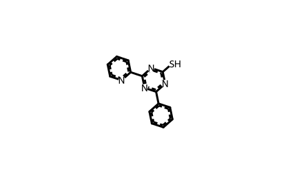 Sc1nc(-c2ccccc2)nc(-c2ccccn2)n1